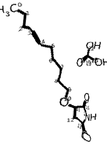 CCCC#CCCCCCOC1CC(=O)NC1=O.O=C(O)O